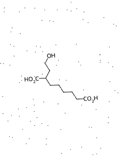 O=C(O)CCCCCC(CCO)C(=O)O